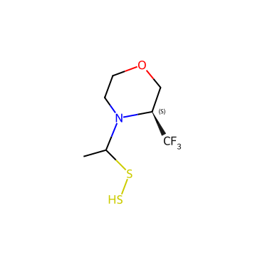 CC(SS)N1CCOC[C@H]1C(F)(F)F